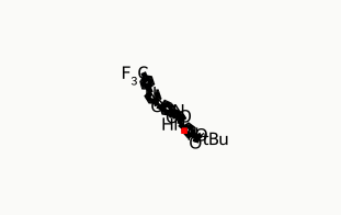 CC(C)(C)OC(=O)N1CCC(NC(=O)c2nc3ccc(OC4CCN(c5ccc(C(F)(F)F)cc5)CC4)cc3o2)CC1